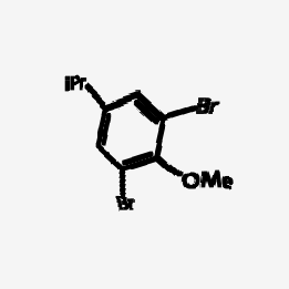 COc1c(Br)cc(C(C)C)cc1Br